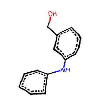 OCc1cccc(Nc2[c]cccc2)c1